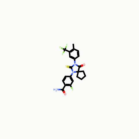 Cc1ccc(N2C(=O)C3(CCCC3)N(c3ccc(C(N)=O)c(F)c3)C2=S)cc1C(F)(F)F